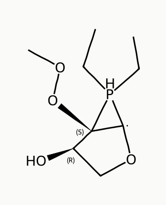 CC[PH]1(CC)[C]2OC[C@@H](O)[C@@]21OOC